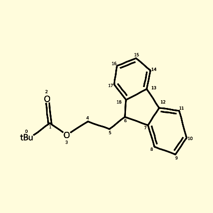 CC(C)(C)C(=O)OCCC1c2ccccc2-c2ccccc21